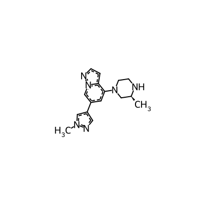 C[C@H]1CN(c2cc(-c3cnn(C)c3)cn3nccc23)CCN1